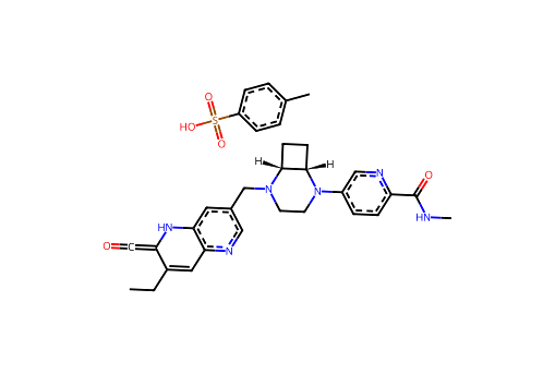 CCC1=Cc2ncc(CN3CCN(c4ccc(C(=O)NC)nc4)[C@H]4CC[C@H]43)cc2NC1=C=O.Cc1ccc(S(=O)(=O)O)cc1